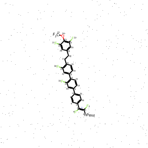 CCCCC/C(F)=C(\F)c1ccc(-c2ccc(-c3ccc(CCc4cc(F)c(OC(F)(F)F)c(F)c4)c(F)c3)c(F)c2)cc1